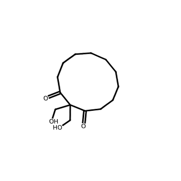 O=C1CCCCCCCCCC(=O)C1(CO)CO